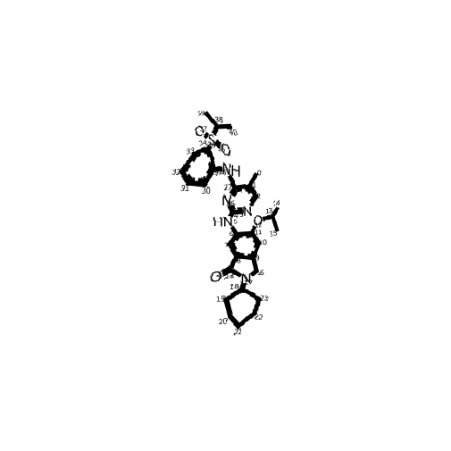 Cc1cnc(Nc2cc3c(cc2OC(C)C)CN(C2CCCCC2)C3=O)nc1Nc1ccccc1S(=O)(=O)C(C)C